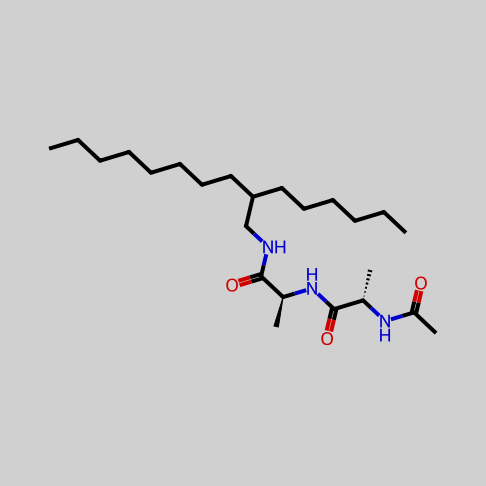 CCCCCCCCC(CCCCCC)CNC(=O)[C@H](C)NC(=O)[C@H](C)NC(C)=O